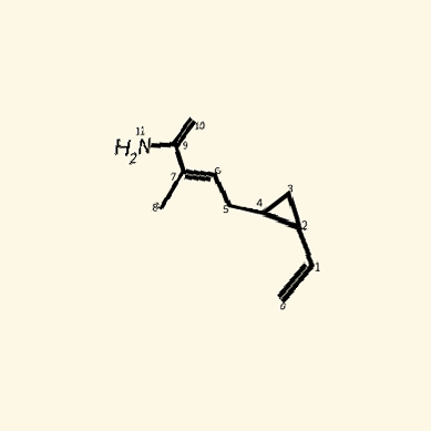 C=CC1CC1C/C=C(\C)C(=C)N